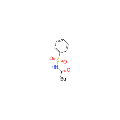 CCC(C)C(=O)NS(=O)(=O)c1ccccc1